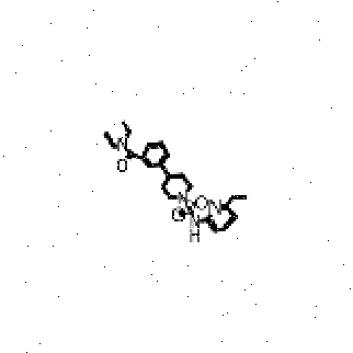 CCc1cccc(NS(=O)(=O)N2CCC(c3cccc(C(=O)N(CC)CC)c3)CC2)n1